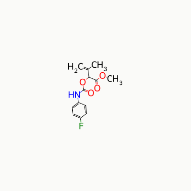 C=C(C)C(OC(=O)Nc1ccc(F)cc1)C(=O)OC